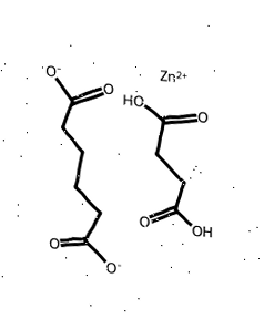 O=C(O)CCC(=O)O.O=C([O-])CCCCC(=O)[O-].[Zn+2]